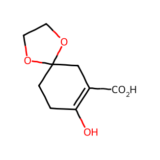 O=C(O)C1=C(O)CCC2(C1)OCCO2